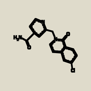 NC(=O)c1ccnc(Cn2ccc3cc(Cl)ccc3c2=O)c1